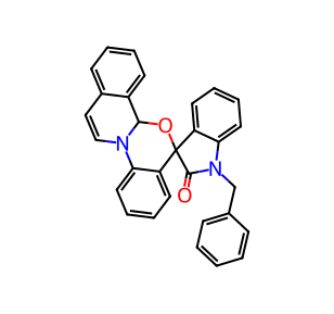 O=C1N(Cc2ccccc2)c2ccccc2C12OC1c3ccccc3C=CN1c1ccccc12